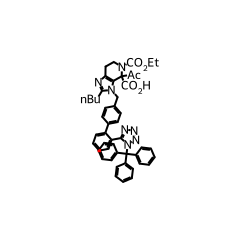 CCCCc1nc2c(n1Cc1ccc(-c3ccccc3-c3nnnn3C(c3ccccc3)(c3ccccc3)c3ccccc3)cc1)C(C(C)=O)(C(=O)O)N(C(=O)OCC)CC2